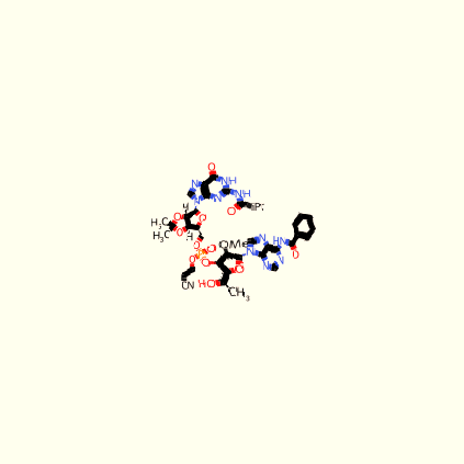 CO[C@@H]1[C@H](OP(=O)(OCCC#N)OC[C@H]2O[C@@H](n3cnc4c(=O)[nH]c(NC(=O)C(C)C)nc43)[C@@H]3OC(C)(C)O[C@@H]32)C([C@H](C)O)O[C@H]1n1cnc2c(NC(=O)c3ccccc3)ncnc21